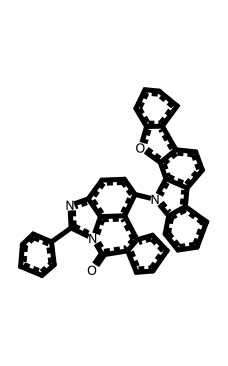 O=c1c2ccccc2c2c(-n3c4ccccc4c4ccc5c6ccccc6oc5c43)ccc3nc(-c4ccccc4)n1c32